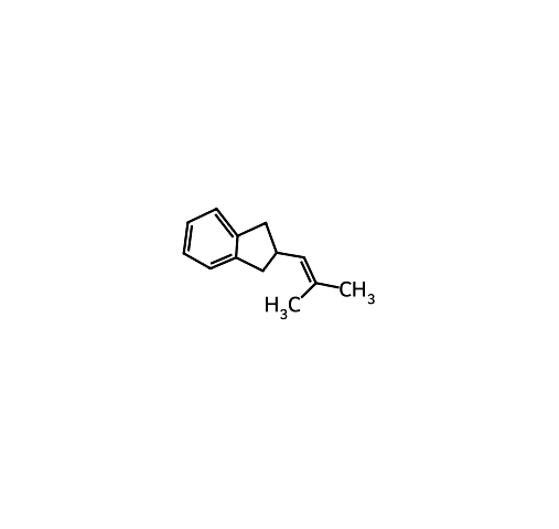 CC(C)=CC1Cc2ccccc2C1